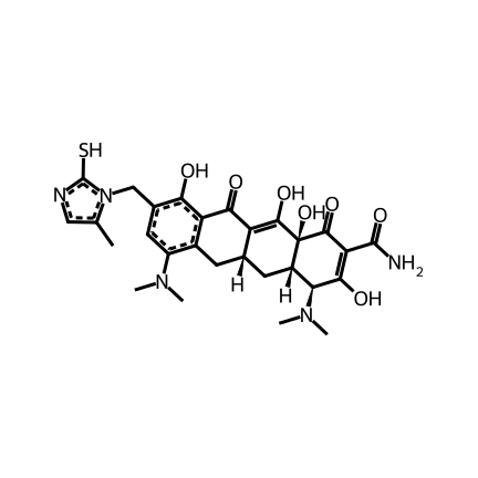 Cc1cnc(S)n1Cc1cc(N(C)C)c2c(c1O)C(=O)C1=C(O)[C@]3(O)C(=O)C(C(N)=O)=C(O)[C@@H](N(C)C)[C@@H]3C[C@@H]1C2